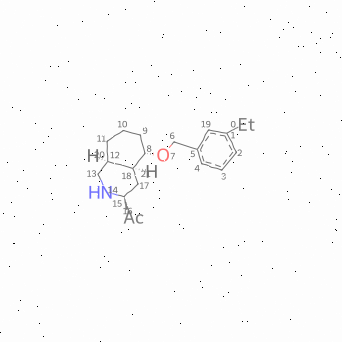 CCc1cccc(CO[C@H]2CCC[C@@H]3CN[C@H](C(C)=O)C[C@@H]32)c1